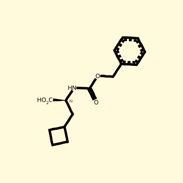 O=C(N[C@@H](CC1CCC1)C(=O)O)OCc1ccccc1